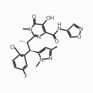 Cc1cc([C@@H](c2cc(F)ccc2Cl)[C@H](C)c2nc(C(=O)Nc3cnoc3)c(O)c(=O)n2C)n(C)n1